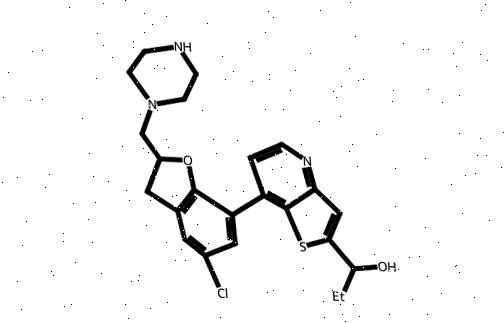 CCC(O)c1cc2nccc(-c3cc(Cl)cc4c3OC(CN3CCNCC3)C4)c2s1